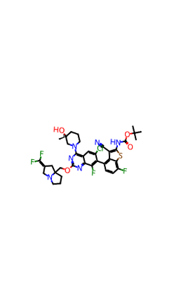 CC(C)(C)OC(=O)Nc1sc2c(F)ccc(-c3c(Cl)cc4c(N5CCC[C@@](C)(O)C5)nc(OCC56CCCN5CC(=C(F)F)C6)nc4c3F)c2c1C#N